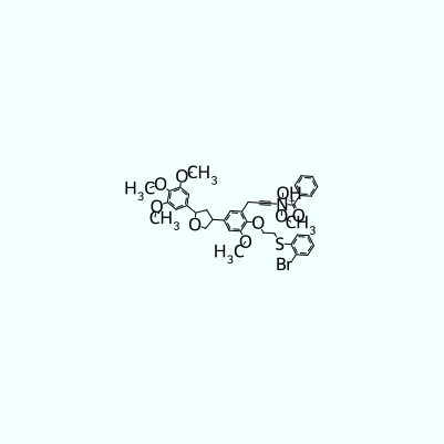 COc1cc(C2COC(c3cc(OC)c(OC)c(OC)c3)C2)cc(CC#C[N+](O)(OC)C(=O)c2ccccc2)c1OCCSc1ccccc1Br